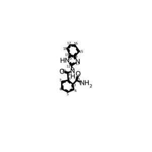 NC(=O)c1ccccc1C(=O)Nc1nc2ccccc2[nH]1